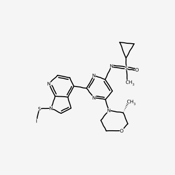 C[C@@H]1COCCN1c1cc(N=S(C)(=O)C2CC2)nc(-c2ccnc3c2ccn3SI)n1